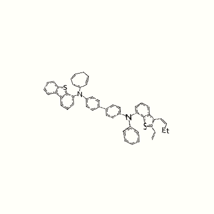 C=Cc1sc2c(N(c3ccccc3)c3ccc(-c4ccc(N(C5=CC=CCC=C5)c5cccc6c5sc5ccccc56)cc4)cc3)cccc2c1/C=C\CC